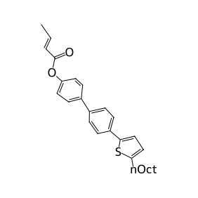 C/C=C/C(=O)Oc1ccc(-c2ccc(-c3ccc(CCCCCCCC)s3)cc2)cc1